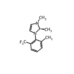 Cc1cccc(C(F)(F)F)c1N1C=CN(C)[C@H]1C